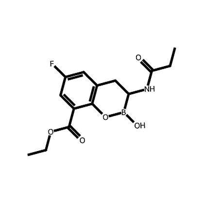 CCOC(=O)c1cc(F)cc2c1OB(O)C(NC(=O)CC)C2